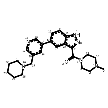 CN1CCN(C(=O)c2n[nH]c3ccc(-c4cncc(CN5CCCCC5)c4)cc23)CC1